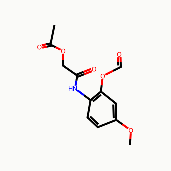 COc1ccc(NC(=O)COC(C)=O)c(OC=O)c1